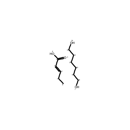 CCC=CC(=O)O.OCCCCCCO